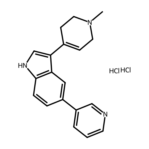 CN1CC=C(c2c[nH]c3ccc(-c4cccnc4)cc23)CC1.Cl.Cl